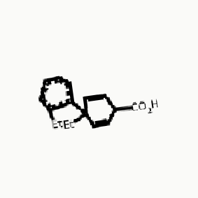 CCc1ccccc1C1(CC)C=CC(C(=O)O)C=C1